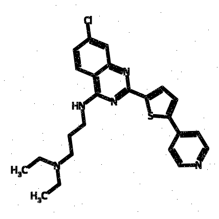 CCN(CC)CCCNc1nc(-c2ccc(-c3ccncc3)s2)nc2cc(Cl)ccc12